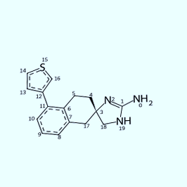 NC1=N[C@]2(CCc3c(cccc3-c3ccsc3)C2)CN1